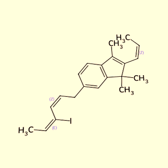 C/C=C\C1=C(C)c2ccc(C/C=C\C(I)=C/C)cc2C1(C)C